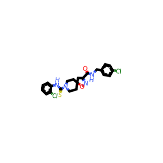 O=C(NCc1ccc(Cl)cc1)C1=NOC2(CCN(C(=S)Nc3ccccc3Cl)CC2)C1